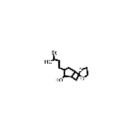 CCC(O)CCC1CC2C(CC23OCCO3)C1O